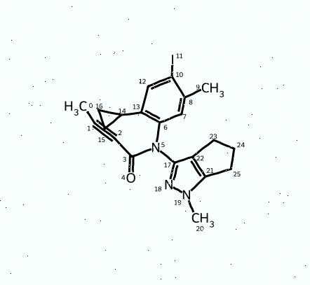 CC#CC(=O)N(c1cc(C)c(I)cc1C1CC1)c1nn(C)c2c1CCC2